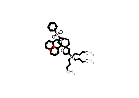 CCC[CH2][Sn]([CH2]CCC)([CH2]CCC)[C]1=CC2(CCC3C(S(=O)(=O)c4ccccc4)CC2(c2ccccc2)N3Cc2ccccc2)OC1